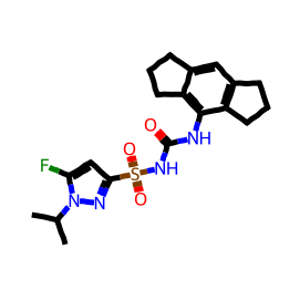 CC(C)n1nc(S(=O)(=O)NC(=O)Nc2c3c(cc4c2CCC4)CCC3)cc1F